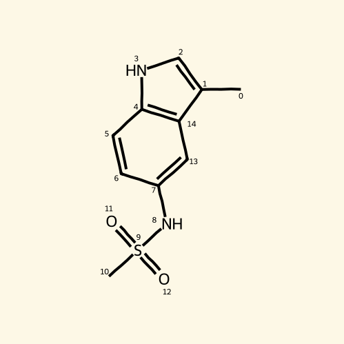 Cc1c[nH]c2ccc(NS(C)(=O)=O)cc12